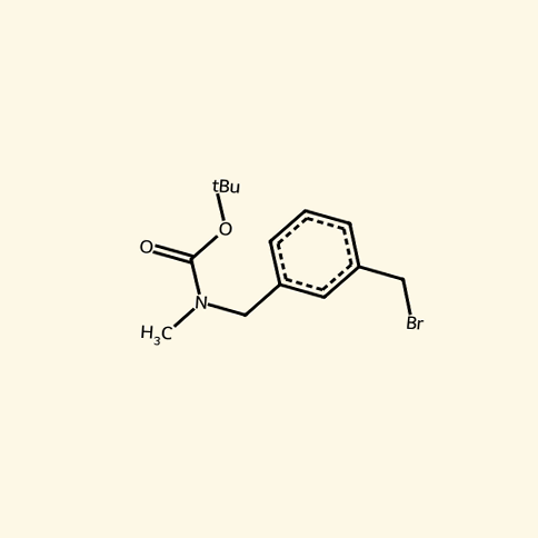 CN(Cc1cccc(CBr)c1)C(=O)OC(C)(C)C